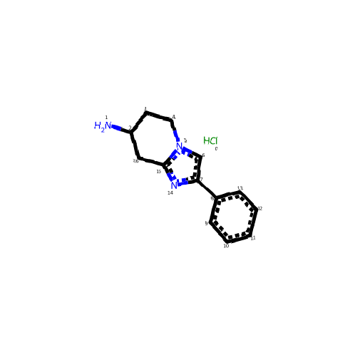 Cl.NC1CCn2cc(-c3ccccc3)nc2C1